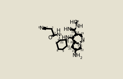 N#CCC(=O)N[C@H]1CCCC[C@@H]1Nc1c(C(=N)NO)cnn2cc(N)cc12